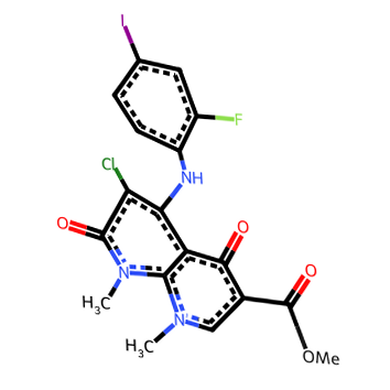 COC(=O)c1cn(C)c2c(c(Nc3ccc(I)cc3F)c(Cl)c(=O)n2C)c1=O